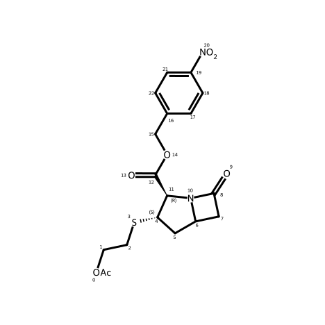 CC(=O)OCCS[C@H]1CC2CC(=O)N2[C@@H]1C(=O)OCc1ccc([N+](=O)[O-])cc1